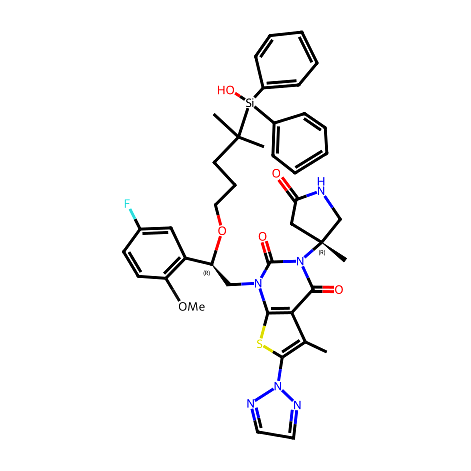 COc1ccc(F)cc1[C@H](Cn1c(=O)n([C@@]2(C)CNC(=O)C2)c(=O)c2c(C)c(-n3nccn3)sc21)OCCCC(C)(C)[Si](O)(c1ccccc1)c1ccccc1